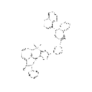 CC1(C)c2cc(-c3cccc(-c4nc(-c5cccc6ccccc56)c5ccccc5n4)c3)ccc2-n2c3c1cccc3c1oc3ccccc3c12